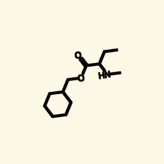 CCC(NC)C(=O)OCC1CCCCC1